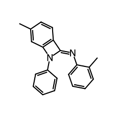 Cc1ccc2c(c1)N(c1ccccc1)/C2=N\c1ccccc1C